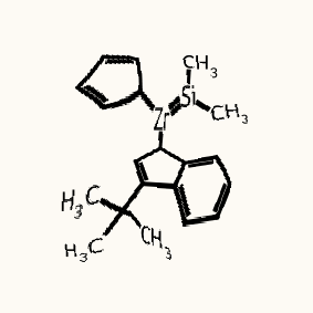 C[Si](C)=[Zr]([CH]1C=CC=C1)[CH]1C=C(C(C)(C)C)c2ccccc21